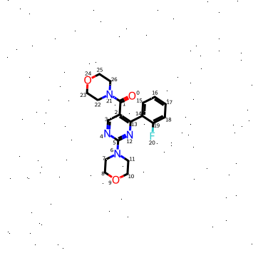 O=C(c1cnc(N2CCOCC2)nc1-c1ccccc1F)N1CCOCC1